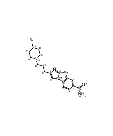 NC(=O)c1ccc2c(c1)sc1nc(CCCN3CCC(F)CC3)cn12